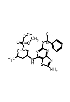 COP(=O)(OC)OCC(CC(C)C)Nc1nc(S[C@@H](C)c2ccccc2)nc2nc(N)sc12